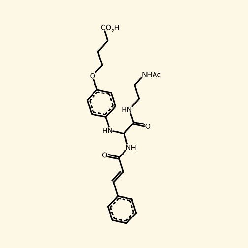 CC(=O)NCCNC(=O)C(NC(=O)C=Cc1ccccc1)Nc1ccc(OCCCC(=O)O)cc1